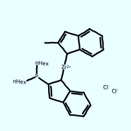 CCCCCCP(CCCCCC)C1=Cc2ccccc2[CH]1[Zr+2][CH]1C(C)=Cc2ccccc21.[Cl-].[Cl-]